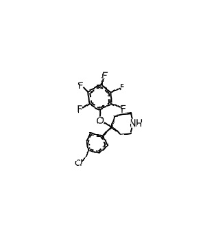 Fc1c(F)c(F)c(OC2(c3ccc(Cl)cc3)CCNCC2)c(F)c1F